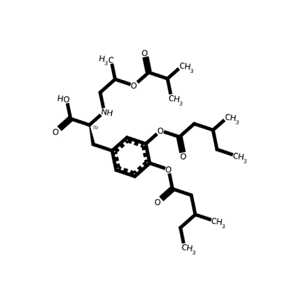 CCC(C)CC(=O)Oc1ccc(C[C@H](NCC(C)OC(=O)C(C)C)C(=O)O)cc1OC(=O)CC(C)CC